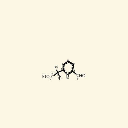 CCOC(=O)C(F)(F)c1cccc(C=O)n1